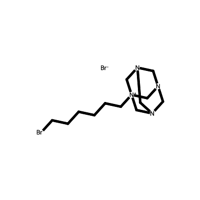 BrCCCCCC[N+]12CN3CN(CN(C3)C1)C2.[Br-]